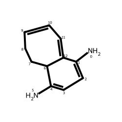 NC1=CC=C(N)C2CCC=CC=C12